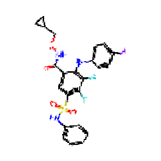 O=C(NOCC1CC1)c1cc(S(=O)(=O)Nc2ccccc2)c(F)c(F)c1Nc1ccc(I)cc1